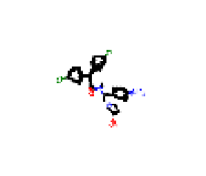 CN(C(=O)C(c1ccc(Cl)cc1)c1ccc(Cl)cc1)[C@H](CN1CC[C@H](O)C1)c1ccc(N)cc1